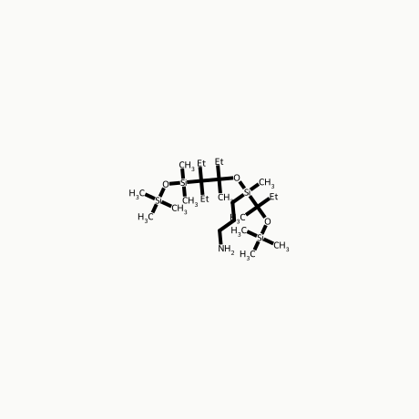 CCC(C)(O[Si](C)(CCCN)C(C)(CC)O[Si](C)(C)C)C(CC)(CC)[Si](C)(C)O[Si](C)(C)C